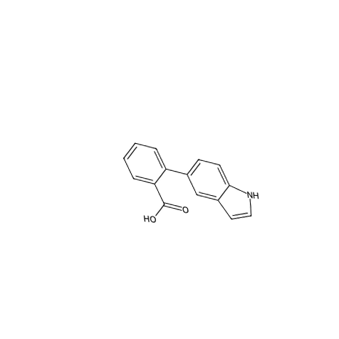 O=C(O)c1ccccc1-c1ccc2[nH]ccc2c1